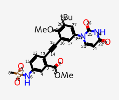 COC(=O)c1cc(NS(C)(=O)=O)ccc1C#Cc1cc(-n2ccc(=O)[nH]c2=O)cc(C(C)(C)C)c1OC